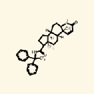 C[C@]12C=CC(=O)NC1CC[C@@H]1[C@H]2CC[C@]2(C)C(C(=O)NC(c3ccccc3)(c3ccccc3)C(F)(F)F)CC[C@@H]12